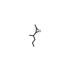 CCCC(C)C1OC1C